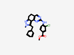 COC(=O)c1ccc(Nc2ncc3c(n2)-c2c(nn(C)c2Cc2ccccc2)CC3)c(Cl)c1